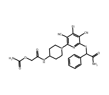 CCc1c(C#N)c(SC(C(N)=O)c2ccccc2)nc(N2CCC(NC(=O)COC(N)=O)CC2)c1C#N